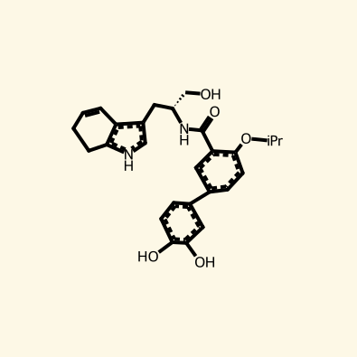 CC(C)Oc1ccc(-c2ccc(O)c(O)c2)cc1C(=O)N[C@@H](CO)Cc1c[nH]c2c1C=CCC2